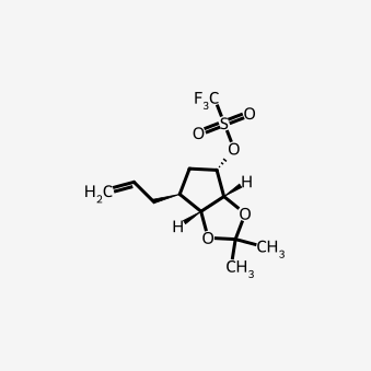 C=CC[C@H]1C[C@H](OS(=O)(=O)C(F)(F)F)[C@@H]2OC(C)(C)O[C@H]12